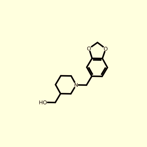 OCC1CCCN(Cc2ccc3c(c2)OCO3)C1